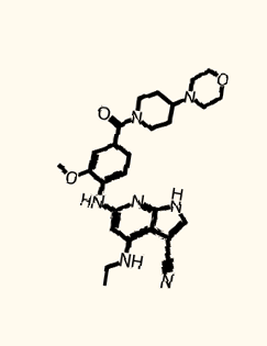 CCNc1cc(NC2=CCC(C(=O)N3CCC(N4CCOCC4)CC3)C=C2OC)nc2[nH]cc(C#N)c12